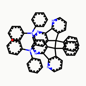 c1ccc(N(c2ccccc2)c2cnc3c(c2)C(c2ccccc2)(C2(c4ccccc4)c4cccnc4-c4ncc(N(c5ccccc5)c5ccccc5)cc42)c2cccnc2-3)cc1